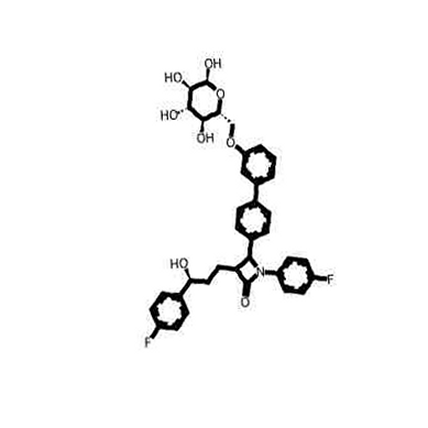 O=C1C(CC[C@H](O)c2ccc(F)cc2)C(c2ccc(-c3cccc(OC[C@H]4O[C@H](O)[C@H](O)[C@@H](O)[C@@H]4O)c3)cc2)N1c1ccc(F)cc1